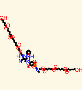 CCN(CCOC(=O)CCCCCOC(=O)CCCCCOC(=O)CCCCCO)CCS(=O)(=O)c1cc(OC)c(/N=N/c2c(Nc3ccccc3)nc(NCCOCCOC(=O)CCCCCOC(=O)CCCCCOC(=O)CCCCCO)c(C#N)c2C)cc1OC